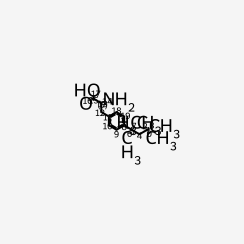 CC(C)(C)CC(C)(C)c1ccc(C[C@H](N)C(=O)O)cc1